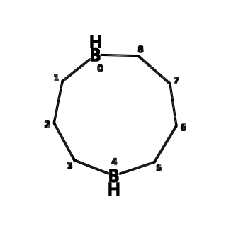 B1CCCBCCCC1